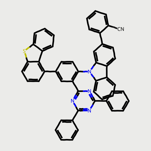 N#Cc1ccccc1-c1ccc2c3ccccc3n(-c3ccc(-c4cccc5sc6ccccc6c45)cc3-c3nc(-c4ccccc4)nc(-c4ccccc4)n3)c2c1